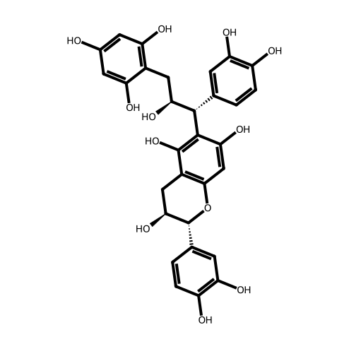 Oc1cc(O)c(C[C@H](O)[C@H](c2ccc(O)c(O)c2)c2c(O)cc3c(c2O)C[C@H](O)[C@@H](c2ccc(O)c(O)c2)O3)c(O)c1